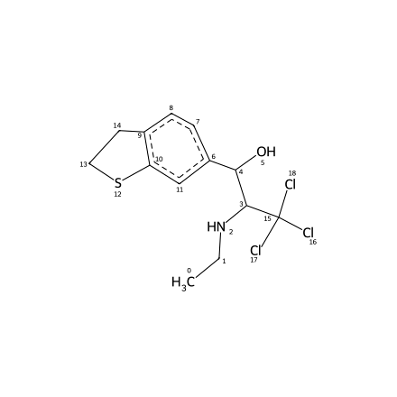 CCNC(C(O)c1ccc2c(c1)SCC2)C(Cl)(Cl)Cl